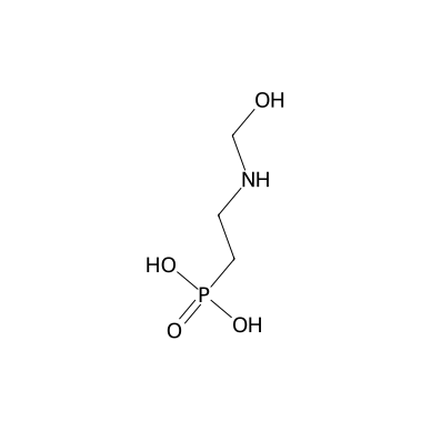 O=P(O)(O)CCNCO